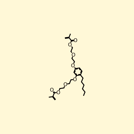 C=C(C)C(=O)OCCOCCOc1ccc(CCCCCC)c(OCCOCCOC(=O)C(=C)C)c1